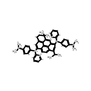 CC(C)c1cc(N(c2ccc(N(C)C)cc2)c2ccccn2)c2cc3c4c(cc(N(c5ccc(N(C)C)cc5)c5ccccn5)c5ccc1c2c54)CCC3(C)C